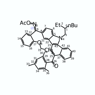 CCCCC(CC)Cn1c2ccc(/C(=N/OC(C)=O)c3ccccc3OCC(F)(F)F)cc2c2cc(C(=O)c3c(C)cc(C)cc3C)c3ccccc3c21